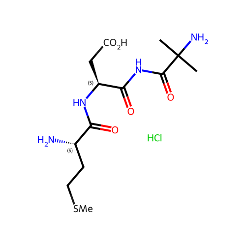 CSCC[C@H](N)C(=O)N[C@@H](CC(=O)O)C(=O)NC(=O)C(C)(C)N.Cl